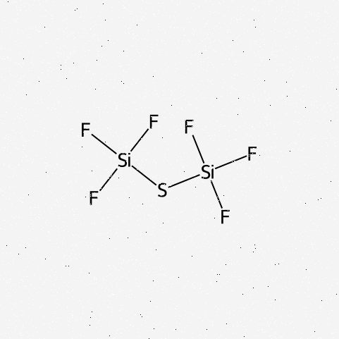 F[Si](F)(F)S[Si](F)(F)F